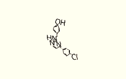 Oc1ccc(CNc2nccc(-c3ccc(Cl)cc3)n2)cc1